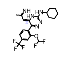 CC(=N)/C=C1\NC(NC2CCCCC2)=NN=C1c1ccc(C(F)(F)F)cc1OC(F)F